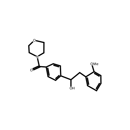 COc1ccccc1CC(O)c1ccc(C(=O)N2CCOCC2)cc1